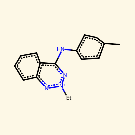 CC[n+]1nc(Nc2ccc(C)cc2)c2ccccc2n1